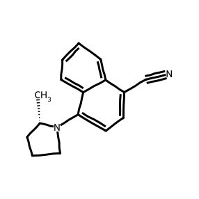 C[C@H]1CCCN1c1ccc(C#N)c2ccccc12